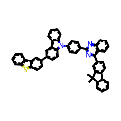 CC1(C)c2ccccc2-c2ccc(-c3nc(-c4ccc(-n5c6ccccc6c6cc(-c7ccc8sc9ccccc9c8c7)ccc65)cc4)nc4ccccc34)cc21